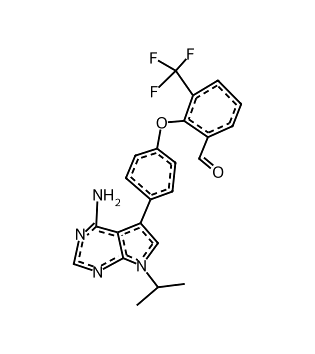 CC(C)n1cc(-c2ccc(Oc3c(C=O)cccc3C(F)(F)F)cc2)c2c(N)ncnc21